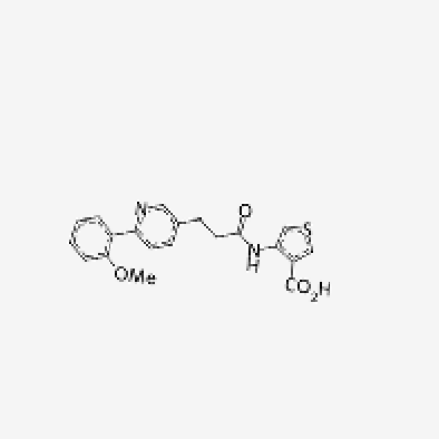 COc1ccccc1-c1ccc(CCC(=O)Nc2cscc2C(=O)O)cn1